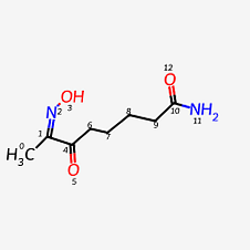 CC(=NO)C(=O)CCCCC(N)=O